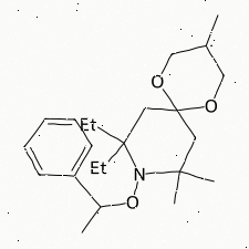 CCC1(CC)CC2(CC(C)(C)N1OC(C)c1ccccc1)OC[C](C)CO2